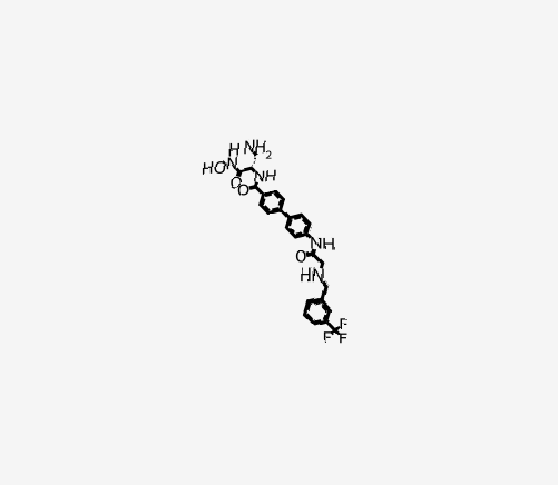 NC[C@H](NC(=O)c1ccc(-c2ccc(NC(=O)CNCc3cccc(C(F)(F)F)c3)cc2)cc1)C(=O)NO